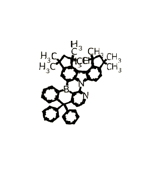 CC1(C)CC(C)(C)c2c1ccc1c2c2c3c(cc4c2n1-c1nccc2c1B4c1ccccc1C2(c1ccccc1)c1ccccc1)C(C)(C)CC3(C)C